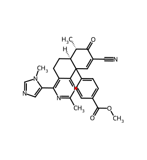 COC(=O)c1ccc(C23C=C(C#N)C(=O)[C@@H](C)[C@@H]2CCc2c(-c4cncn4C)nc(C)nc23)cc1